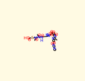 CCC(=O)N(CCNC(=O)CCCc1cn(CC(=O)O[C@]2(CC)C(=O)OCc3c2cc2n(c3=O)Cc3c-2nc2ccc(OC(=O)N4CCC(N5CCCCC5)CC4)cc2c3CC)nn1)CCN(CCSCCC(=O)O)C(=O)CC